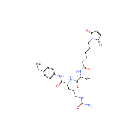 CC(C)C(NC(=O)CCCCCN1C(=O)C=CC1=O)C(=O)N[C@@H](CCCNC(N)=O)C(=O)Nc1ccc(CC(C)(C)C)cc1